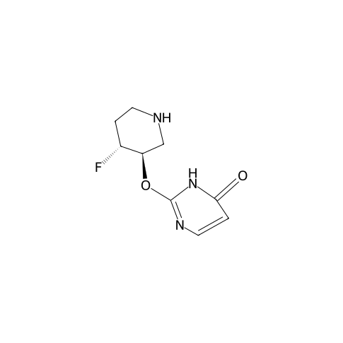 O=c1ccnc(O[C@@H]2CNCC[C@H]2F)[nH]1